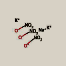 O=[N+]([O-])[O-].O=[N+]([O-])[O-].O=[N+]([O-])[O-].[K+].[K+].[Na+]